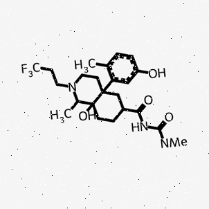 CNC(=O)NC(=O)C1CCC2(O)C(C)N(CCC(F)(F)F)CCC2(c2cc(O)ccc2C)C1